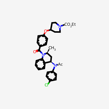 CCOC(=O)N1CCC(Oc2ccc(C(=O)N3c4ccccc4[C@H](N(C(C)=O)c4ccc(Cl)cc4)C[C@@H]3C)cc2)CC1